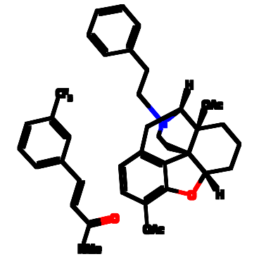 CC(=O)Oc1ccc2c3c1O[C@H]1CCC[C@@]4(OC(C)=O)[C@@H](C2)N(CCc2ccccc2)CC[C@]314.CNC(=O)/C=C/c1cccc(C(F)(F)F)c1